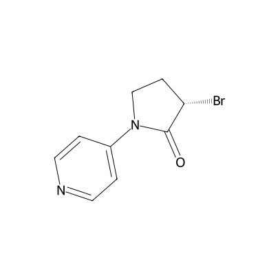 O=C1[C@@H](Br)CCN1c1ccncc1